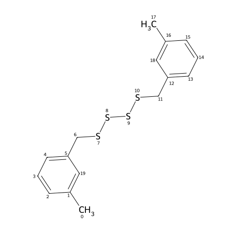 Cc1cccc(CSSSSCc2cccc(C)c2)c1